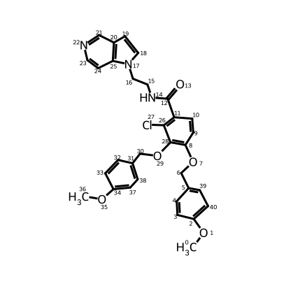 COc1ccc(COc2ccc(C(=O)NCCn3ccc4cnccc43)c(Cl)c2OCc2ccc(OC)cc2)cc1